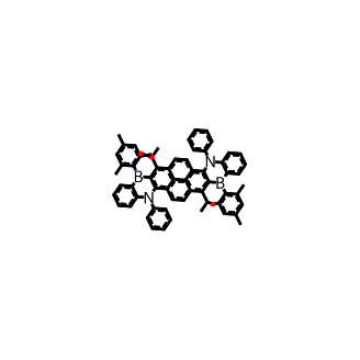 Cc1cc(C)c(B2c3ccccc3N(c3ccccc3)c3c2c(C(C)C)c2ccc4c5c(c(C(C)C)c6ccc3c2c64)B(c2c(C)cc(C)cc2C)c2ccccc2N5c2ccccc2)c(C)c1